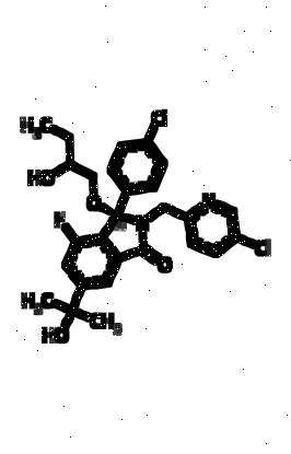 CCC(O)CO[C@]1(c2ccc(Cl)cc2)c2c(F)cc(C(C)(C)O)cc2C(=O)N1Cc1ccc(Cl)cn1